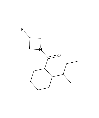 CCC(C)C1CCCCC1C(=O)N1CC(F)C1